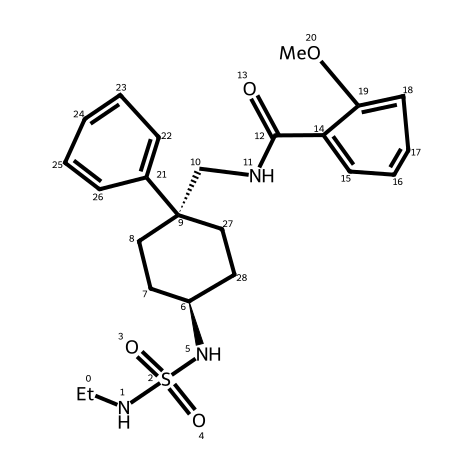 CCNS(=O)(=O)N[C@H]1CC[C@@](CNC(=O)c2ccccc2OC)(c2ccccc2)CC1